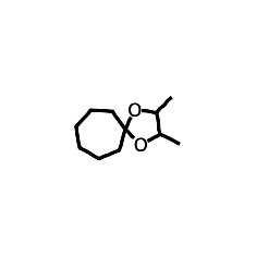 CC1OC2(CCCCCC2)OC1C